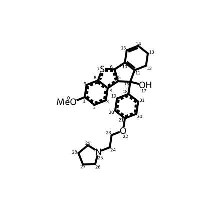 COc1ccc2c3c(sc2c1)C1=C(CCC=C1)C3(O)c1ccc(OCCN2CCCC2)cc1